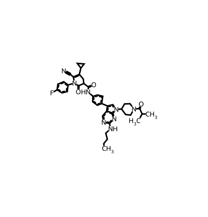 CCCCNc1ncc2c(-c3ccc(NC(=O)C4CC(C5CC5)=C(C#N)N(c5ccc(F)cc5)C4=O)cc3)cn(C3CCN(C(=O)C(C)C)CC3)c2n1